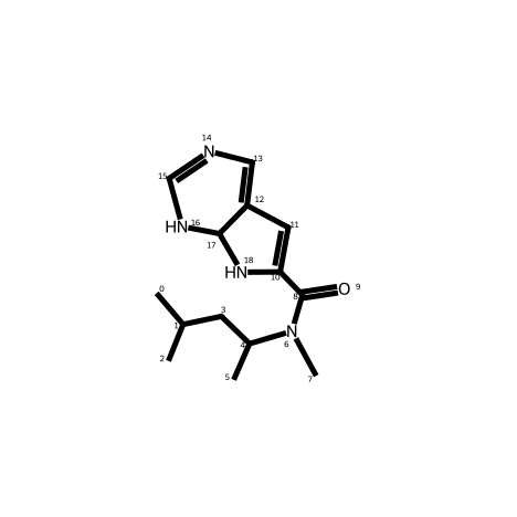 CC(C)CC(C)N(C)C(=O)C1=CC2=CN=CNC2N1